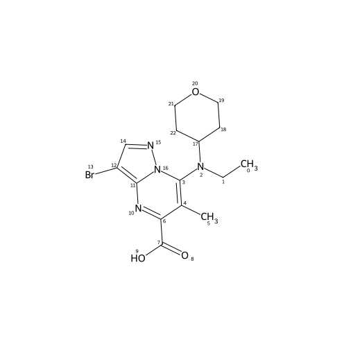 CCN(c1c(C)c(C(=O)O)nc2c(Br)cnn12)C1CCOCC1